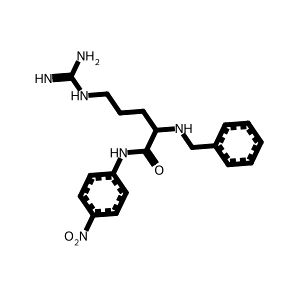 N=C(N)NCCCC(NCc1ccccc1)C(=O)Nc1ccc([N+](=O)[O-])cc1